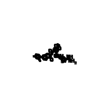 Cc1ccc(-c2ccc3c(c2)CN(CC(=O)N2CC4(C[C@H]2C(=O)NCc2cc(C(=N)N)cs2)OCCO4)C3=O)c(C)c1